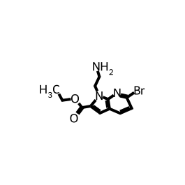 CCOC(=O)c1cc2ccc(Br)nc2n1CCN